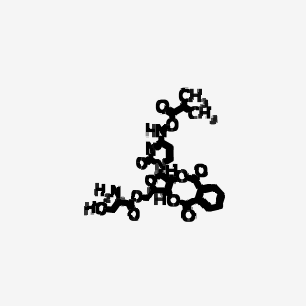 CC(C)C(=O)ONc1ccn([C@@H]2O[C@H](COC(=O)[C@@H](N)CO)[C@H]3OC(=O)c4ccccc4C(=O)O[C@H]32)c(=O)n1